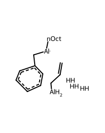 C=C[CH2][AlH2].CCCCCCC[CH2][Al][CH2]c1ccccc1.[HH].[HH].[HH]